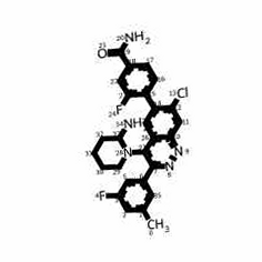 Cc1cc(F)cc(-c2nnc3cc(Cl)c(-c4ccc(C(N)=O)cc4F)cc3c2N2CCCCC2N)c1